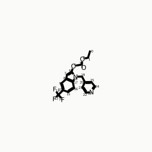 CCOC(=O)Oc1cc2cc(C(F)(F)F)ccc2n1Cc1ccncc1